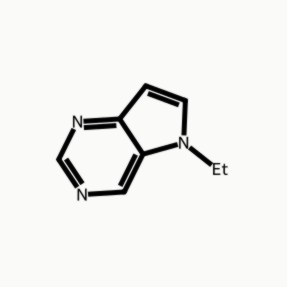 CCn1ccc2ncncc21